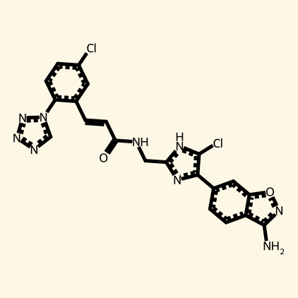 Nc1noc2cc(-c3nc(CNC(=O)/C=C/c4cc(Cl)ccc4-n4cnnn4)[nH]c3Cl)ccc12